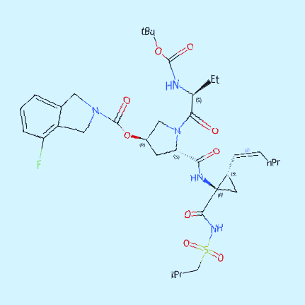 CCC/C=C\[C@@H]1C[C@]1(NC(=O)[C@@H]1C[C@@H](OC(=O)N2Cc3cccc(F)c3C2)CN1C(=O)[C@H](CC)NC(=O)OC(C)(C)C)C(=O)NS(=O)(=O)CC(C)C